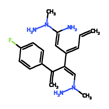 C=C/C=C(\C=C(/N)N(C)N)C(=C/N(C)N)/C(=C)c1ccc(F)cc1